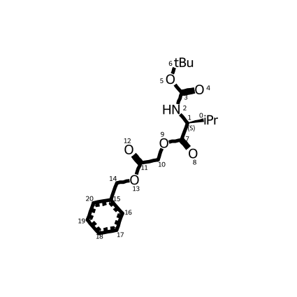 CC(C)[C@H](NC(=O)OC(C)(C)C)C(=O)OCC(=O)OCc1ccccc1